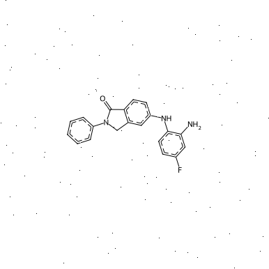 Nc1cc(F)ccc1Nc1ccc2c(c1)CN(c1ccccc1)C2=O